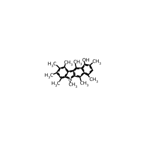 Cc1cc(C)c2c(C)c3c(c(C)c2c1O)c1c(C)c(C)c(C)c(C)c1n3C